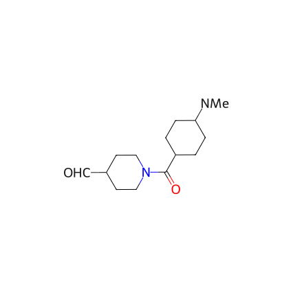 CNC1CCC(C(=O)N2CCC(C=O)CC2)CC1